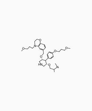 COCCCOc1ccc(C2[C@@H](OCc3ccc4c(c3)N(CCCOC)CCO4)CNC[C@H]2OCC(C)N(C)C)cc1